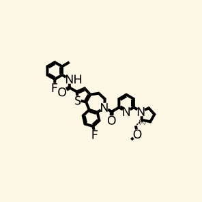 COC[C@H]1CCCN1c1cccc(C(=O)N2CCc3cc(C(=O)Nc4c(C)cccc4F)sc3-c3ccc(F)cc32)n1